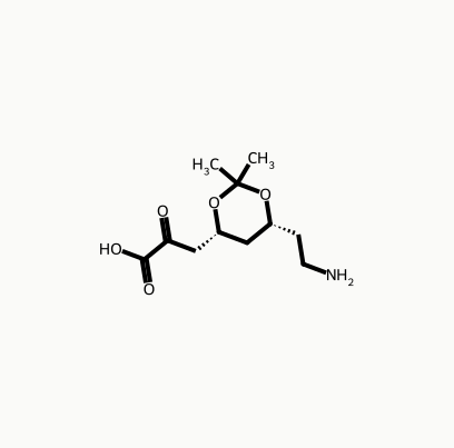 CC1(C)O[C@H](CCN)C[C@H](CC(=O)C(=O)O)O1